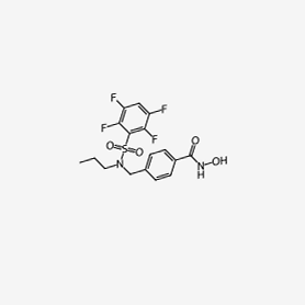 CCCN(Cc1ccc(C(=O)NO)cc1)S(=O)(=O)c1c(F)c(F)cc(F)c1F